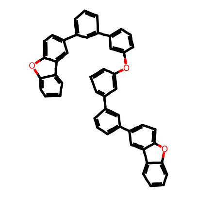 c1cc(Oc2cccc(-c3cccc(-c4ccc5oc6ccccc6c5c4)c3)c2)cc(-c2cccc(-c3ccc4oc5ccccc5c4c3)c2)c1